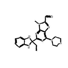 CCC1(c2nc(N3CCOCC3)c3nc(C=O)n(C)c3n2)Nc2ccccc2N1